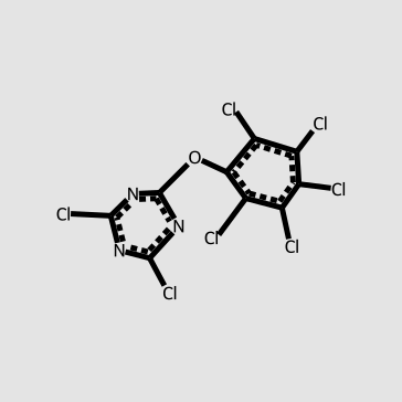 Clc1nc(Cl)nc(Oc2c(Cl)c(Cl)c(Cl)c(Cl)c2Cl)n1